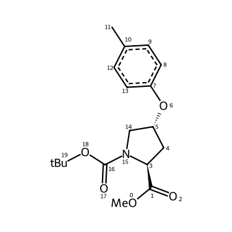 COC(=O)[C@@H]1C[C@@H](Oc2ccc(C)cc2)CN1C(=O)OC(C)(C)C